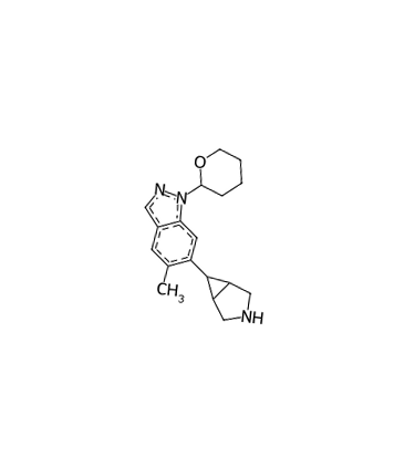 Cc1cc2cnn(C3CCCCO3)c2cc1C1C2CNCC21